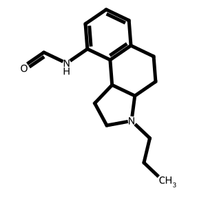 CCCN1CCC2c3c(cccc3NC=O)CCC21